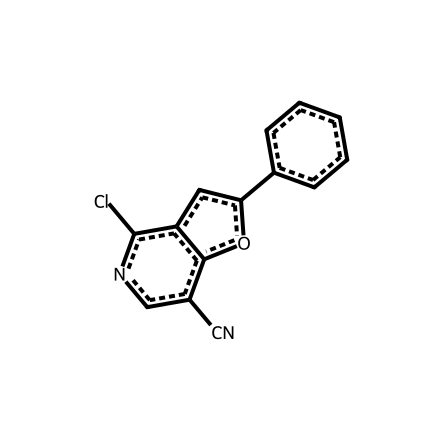 N#Cc1cnc(Cl)c2cc(-c3ccccc3)oc12